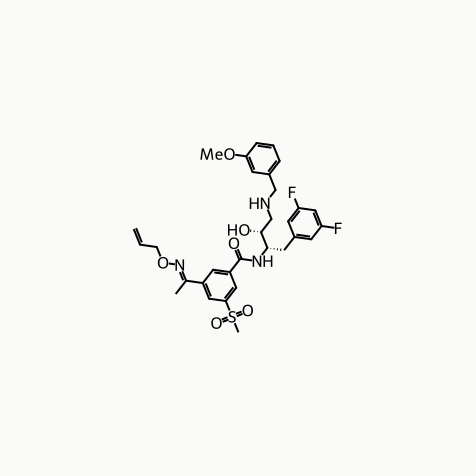 C=CCO/N=C(\C)c1cc(C(=O)N[C@@H](Cc2cc(F)cc(F)c2)[C@H](O)CNCc2cccc(OC)c2)cc(S(C)(=O)=O)c1